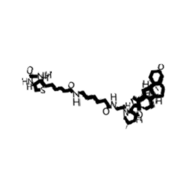 CC1=C2C[C@H]3[C@@H](CCC4=CC(=O)CC[C@@]43C)[C@@H]2CC[C@]12O[C@@H]1C[C@H](C)CN(CCNC(=O)CCCCCNC(=O)CCCCC3SC[C@@H]4NC(=O)N[C@H]34)[C@H]1[C@H]2C